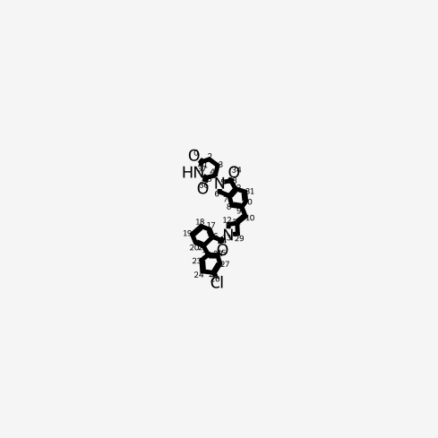 O=C1CCC(N2Cc3cc(C=C4CN(C(=O)c5ccccc5-c5ccc(Cl)cc5)C4)ccc3C2=O)C(=O)N1